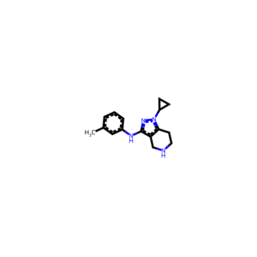 Cc1cccc(Nc2nn(C3CC3)c3c2CNCC3)c1